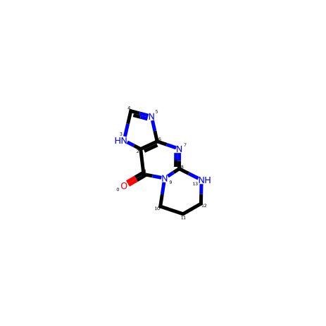 O=c1c2[nH]cnc2nc2n1CCCN2